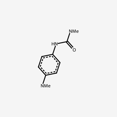 CNC(=O)Nc1ccc(NC)cc1